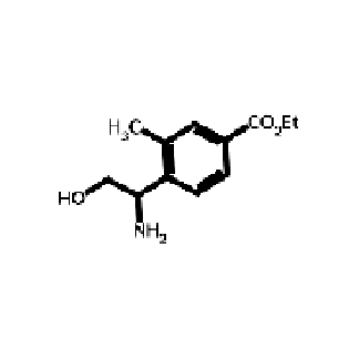 CCOC(=O)c1ccc(C(N)CO)c(C)c1